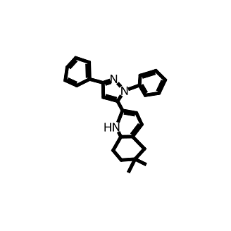 CC1(C)CCC2NC(c3cc(-c4ccccc4)nn3-c3ccccc3)=CC=C2C1